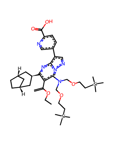 C=C(OCC)c1c([C@H]2C[C@@H]3CC[C@@H](C3)C2)nc2c(-c3ccc(C(=O)O)nc3)cnn2c1N(COCC[Si](C)(C)C)COCC[Si](C)(C)C